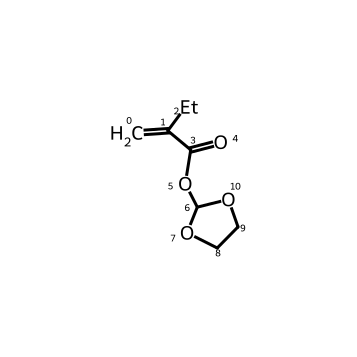 C=C(CC)C(=O)OC1OCCO1